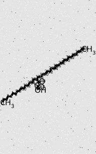 CCCCCCCCC=CCCCCCCC(CCCCCCCCCCCCCCCCCCCCCC)C(=O)OC(=O)O